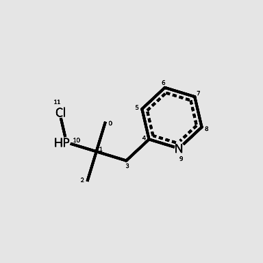 CC(C)(Cc1ccccn1)PCl